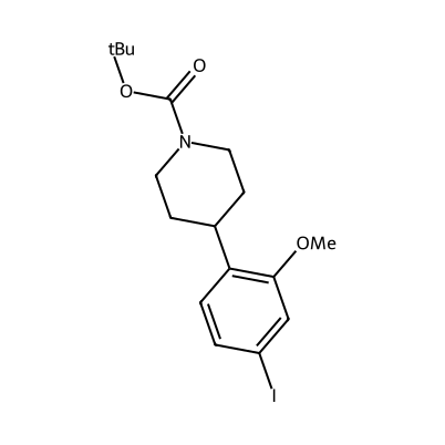 COc1cc(I)ccc1C1CCN(C(=O)OC(C)(C)C)CC1